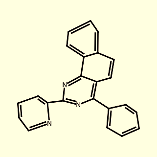 c1ccc(-c2nc(-c3ccccn3)nc3c2ccc2ccccc23)cc1